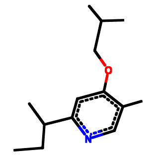 CCC(C)c1cc(OCC(C)C)c(C)cn1